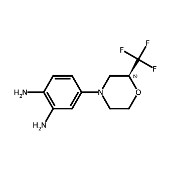 Nc1ccc(N2CCO[C@H](C(F)(F)F)C2)cc1N